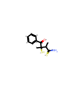 CC(C(N)=S)C(C)(S)C(=O)c1ccccc1